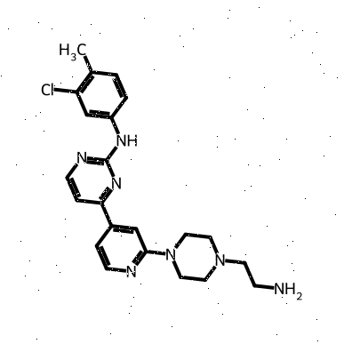 Cc1ccc(Nc2nccc(-c3ccnc(N4CCN(CCN)CC4)c3)n2)cc1Cl